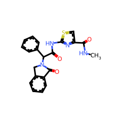 CNC(=O)c1csc(NC(=O)C(c2ccccc2)N2Cc3ccccc3C2=O)n1